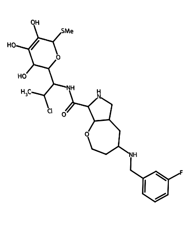 CSC1OC(C(NC(=O)C2NCC3CC(NCc4cccc(F)c4)CCOC32)C(C)Cl)C(O)C(O)=C1O